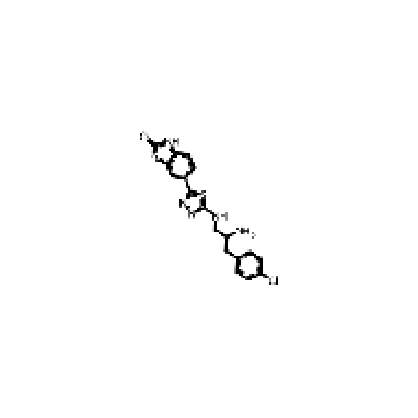 NC(CNc1nnc(-c2ccc3[nH]c(=O)oc3c2)s1)Cc1ccc(Cl)cc1